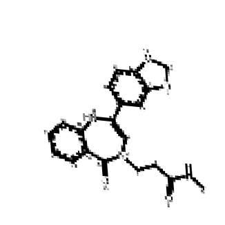 CNC(=O)CCN1C=C(c2ccc3c(c2)OCO3)Nc2ccccc2C1=O